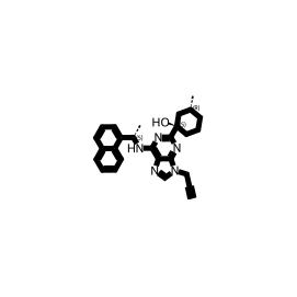 C#CCn1cnc2c(N[C@@H](C)c3cccc4ccccc34)nc([C@]3(O)CCC[C@@H](C)C3)nc21